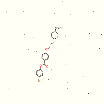 CCCCC[C@H]1CC[C@H](CCCOc2ccc(C(=O)Oc3ccc(Br)cc3)cc2)CC1